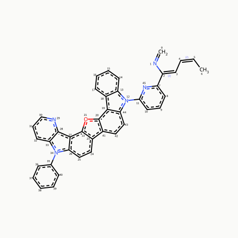 C=N/C(=C\C=C/C)c1cccc(-n2c3ccccc3c3c4oc5c(ccc6c5c5ncccc5n6-c5ccccc5)c4ccc32)n1